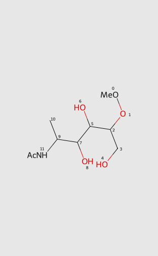 COOC(CO)C(O)C(O)C(C)NC(C)=O